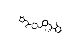 NC(=Nc1cccc(CN2CCN(C(=O)CC3CCSS3)CC2)c1)C1=CC=CCC1=S